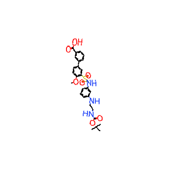 COc1ccc(-c2cccc(C(=O)O)c2)cc1S(=O)(=O)Nc1cccc(NCCNC(=O)OC(C)(C)C)c1